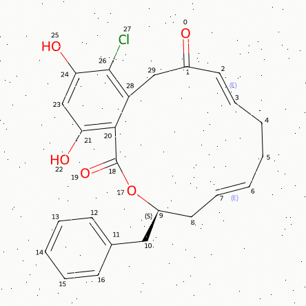 O=C1/C=C/CC/C=C/C[C@@H](Cc2ccccc2)OC(=O)c2c(O)cc(O)c(Cl)c2C1